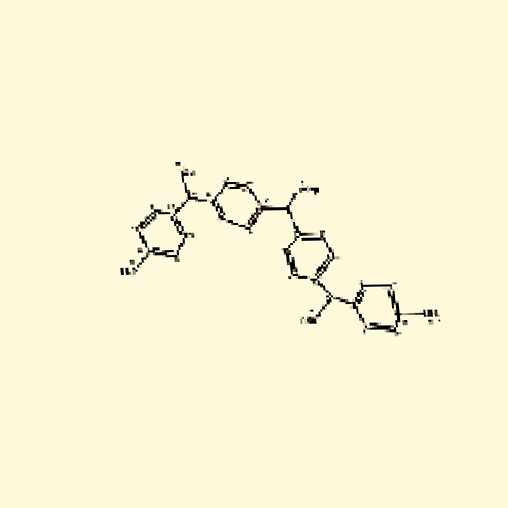 CCCCCCCC(c1ccc(C(CCCC)c2ccc(N)cc2)cc1)c1ccc(C(CCCC)c2ccc(N)cc2)cc1